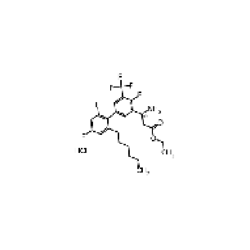 C=CCCCCc1cc(F)cc(F)c1-c1cc([C@@H](N)CC(=O)OCC)c(F)c(C(F)(F)F)c1.Cl